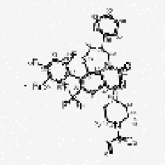 C=CC(=O)N1[C@H](C)CN(c2nc(=O)n3c4c(c(-c5cc(Br)c(F)cc5F)c(C(F)(F)F)cc24)SC[C@@H](c2ccccn2)C3)C[C@@H]1C